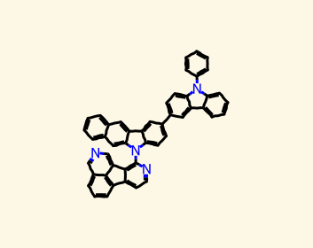 c1ccc(-n2c3ccccc3c3cc(-c4ccc5c(c4)c4cc6ccccc6cc4n5-c4nccc5c4-c4cncc6cccc-5c46)ccc32)cc1